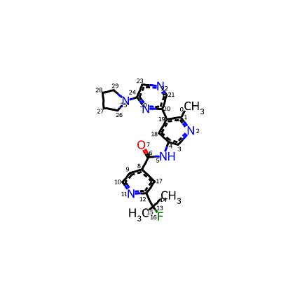 Cc1ncc(NC(=O)c2ccnc(C(C)(C)F)c2)cc1-c1cncc(N2CCCC2)n1